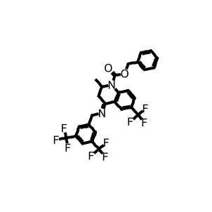 CC1CC(=NCc2cc(C(F)(F)F)cc(C(F)(F)F)c2)c2cc(C(F)(F)F)ccc2N1C(=O)OCc1ccccc1